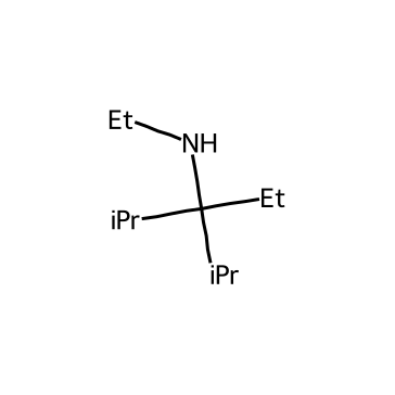 CCNC(CC)(C(C)C)C(C)C